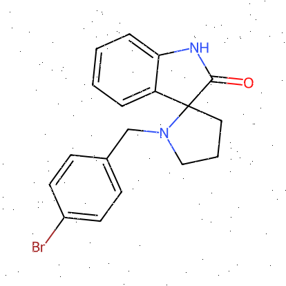 O=C1Nc2ccccc2C12CCCN2Cc1ccc(Br)cc1